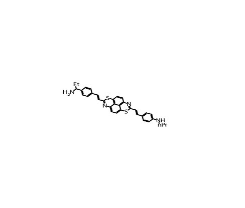 CCCNc1ccc(/C=C/C2=Nc3ccc4c5c(ccc(c35)S2)N=C(/C=C/c2ccc(C(N)CC)cc2)S4)cc1